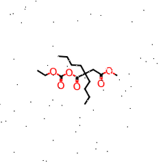 CCCCC(CCCC)(CC(=O)OC)C(=O)OC(=O)OCC